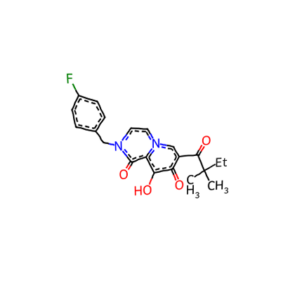 CCC(C)(C)C(=O)c1cn2ccn(Cc3ccc(F)cc3)c(=O)c2c(O)c1=O